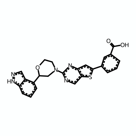 O=C(O)c1cccc(-c2cc3nc(N4CCOC(c5cccc6[nH]ncc56)C4)ncc3s2)c1